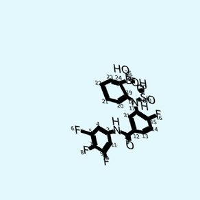 O=C(Nc1cc(F)c(F)c(F)c1)c1ccc(F)c(N(c2ccccc2B(O)O)[SH](=O)=O)c1